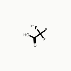 O=C(O)C(F)(F)F.[Ir]